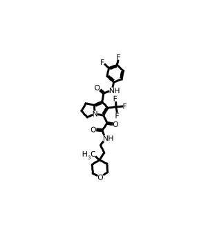 CC1(CCNC(=O)C(=O)c2c(C(F)(F)F)c(C(=O)Nc3ccc(F)c(F)c3)c3n2CCC3)CCOCC1